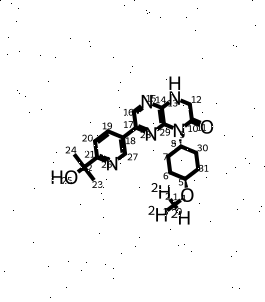 [2H]C([2H])([2H])O[C@H]1CC[C@H](N2C(=O)CNc3ncc(-c4ccc(C(C)(C)O)nc4)nc32)CC1